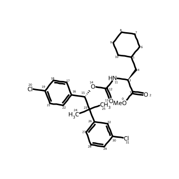 COC(=O)[C@H](CC1CCCCC1)NC(=O)O[C@@H](c1ccc(Cl)cc1)C(C)(C)c1cccc(Cl)c1